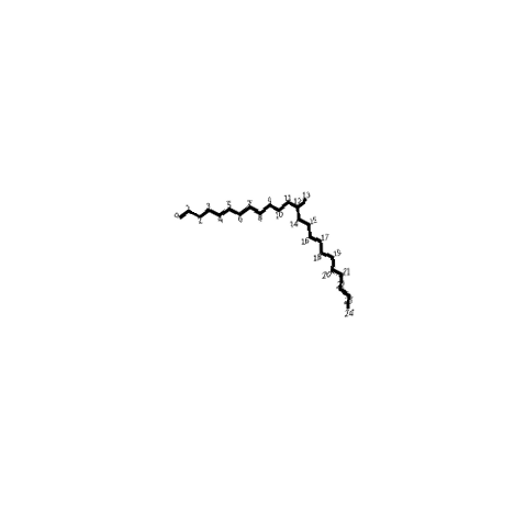 CCCCCCCCCCCCC(C)CCCCCCCCCCC